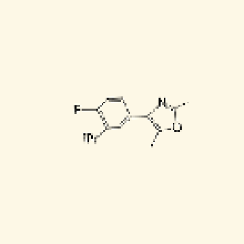 Cc1nc(-c2ccc(F)c(C(C)C)c2)c(C)o1